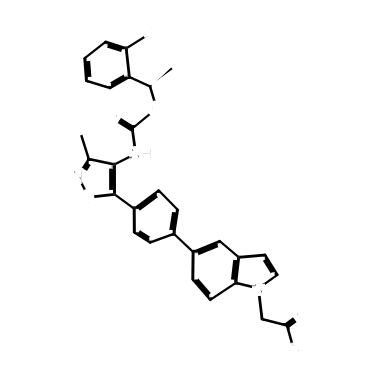 Cc1nsc(-c2ccc(-c3ccc4c(ccn4CC(=O)O)c3)cc2)c1NC(=O)O[C@H](C)c1ccccc1Cl